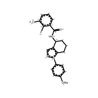 COc1ccc(-n2ncc3c2CCCC3NC(=O)c2cccc(C(F)(F)F)c2F)cc1